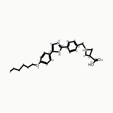 CCCCCCOc1ccc(-c2cnc(-c3ccc(CN4CC(C(=O)O)C4)cc3)s2)cc1